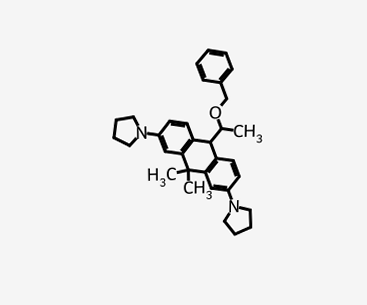 CC(OCc1ccccc1)C1c2ccc(N3CCCC3)cc2C(C)(C)c2cc(N3CCCC3)ccc21